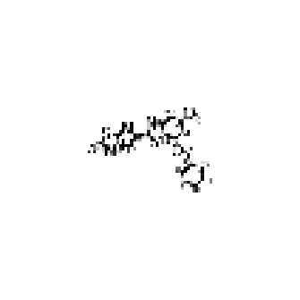 COc1cc(OCc2ccccc2)c2sc(-c3cn4nc(C)sc4n3)nc2c1